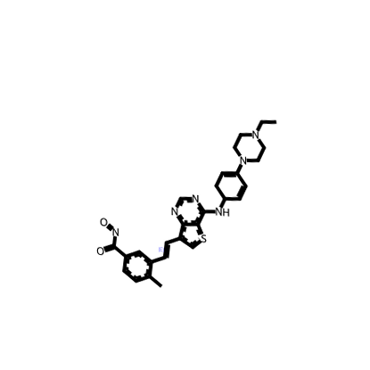 CCN1CCN(C2=CCC(Nc3ncnc4c(/C=C/c5cc(C(=O)N=O)ccc5C)csc34)C=C2)CC1